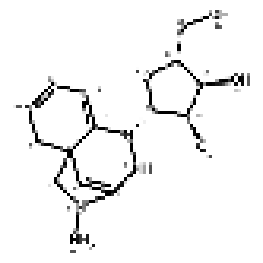 NN1CC23C=C1NN([C@@H]1O[C@H](CO)[C@@H](O)[C@H]1O)C2=NC=NC3